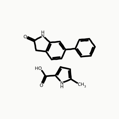 Cc1ccc(C(=O)O)[nH]1.O=C1Cc2ccc(-c3ccccc3)cc2N1